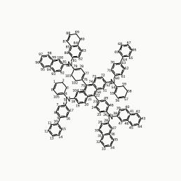 C1=CCCC(N(c2ccc(-c3ccccc3)cc2)c2ccc3c(-c4ccc(N(c5ccc6ccccc6c5)c5ccc6ccccc6c5)cc4)c4cc(N(C5=CC=CCC5)c5ccc(-c6ccccc6)cc5)ccc4c(C4=CC=C(N(c5ccc6c(c5)C=CCC6)c5ccc6ccccc6c5)CC4)c3c2)=C1